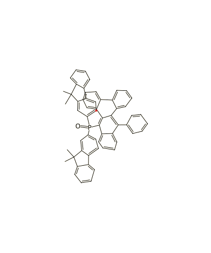 CC1(C)c2ccccc2-c2ccc(P(=O)(c3ccc4c(c3)C(C)(C)c3ccccc3-4)c3c4ccccc4c(-c4ccccc4)c4c5ccccc5c5ccccc5c34)cc21